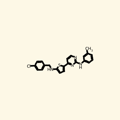 Cc1cccc(Nc2nccc(-c3ccc(NCc4ccc(Cl)cc4)s3)n2)c1